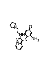 NC1=CC(=O)C=C/C1=N\c1c(NCCN2CCCC2)nn2ccccc12